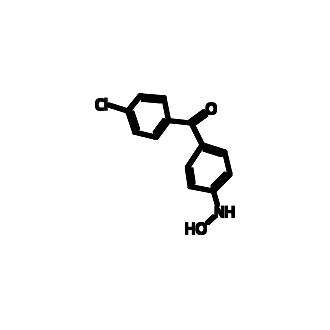 O=C(c1ccc(Cl)cc1)c1ccc(NO)cc1